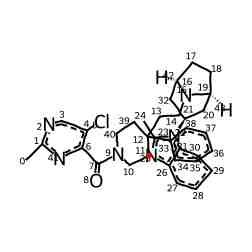 Cc1ncc(Cl)c(C(=O)N2CCC(CCN3[C@@H]4CC[C@H]3C[C@@H](n3c(C)nc5ccccc53)C4)(c3ccccc3)CC2)n1